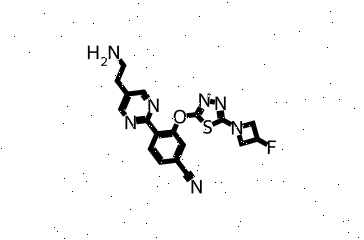 N#Cc1ccc(-c2ncc(CCN)cn2)c(Oc2nnc(N3CC(F)C3)s2)c1